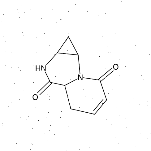 O=C1NC2CC2N2C(=O)C=CCC12